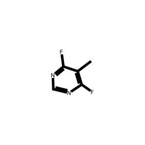 Cc1c(F)ncnc1F